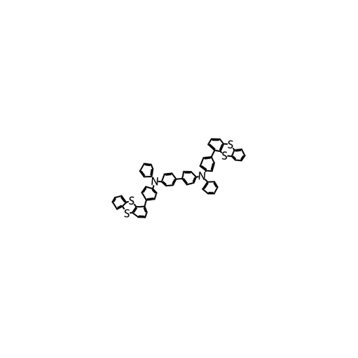 c1ccc(N(c2ccc(-c3ccc(N(c4ccccc4)c4ccc(-c5cccc6c5Sc5ccccc5S6)cc4)cc3)cc2)c2ccc(-c3cccc4c3Sc3ccccc3S4)cc2)cc1